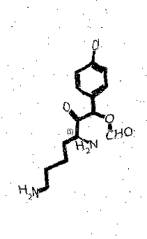 NCCCC[C@H](N)C(=O)C(O[C]=O)c1ccc(Cl)cc1